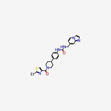 CCc1nc(C(=O)N2CCC(c3ccc(NC(=O)NCc4ccn5ccnc5c4)cc3)CC2)cs1